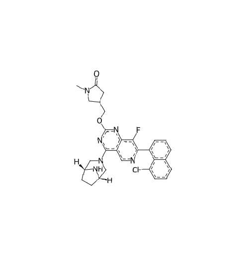 CN1CC(COc2nc(N3C[C@H]4CC[C@@H](C3)N4)c3cnc(-c4cccc5cccc(Cl)c45)c(F)c3n2)CC1=O